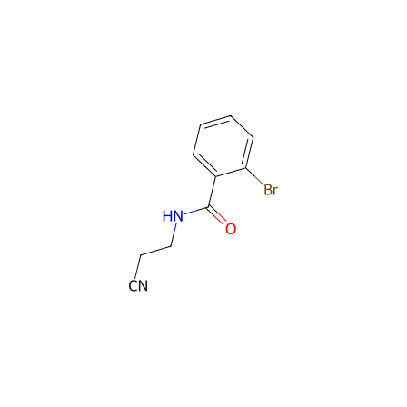 N#CCCNC(=O)c1ccccc1Br